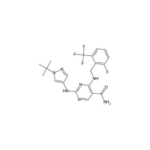 CC(C)(C)n1cc(Nc2ncc(C(N)=O)c(NCc3c(F)cccc3C(F)(F)F)n2)cn1